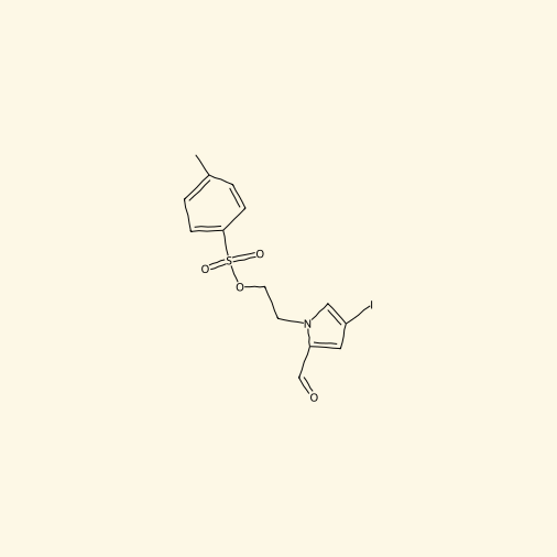 Cc1ccc(S(=O)(=O)OCCn2cc(I)cc2C=O)cc1